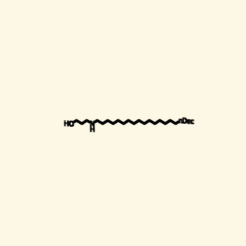 CCCCCCCCCCCCCCCCCCCCCCCCCCNCCCO